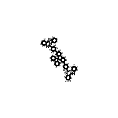 c1ccc(C2(c3ccccc3)c3cc(-c4ccc(-c5nc6ccccc6c6nc7ccccc7n56)cc4)ccc3-c3ccc(-c4ccc(-c5nc6ccccc6c6nc7ccccc7n56)cc4)cc32)cc1